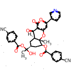 CC(O)(OC(=O)c1ccc(C#N)cc1)[C@@H]1C[C@H](OC(=O)c2ccc(C#N)cc2)[C@@]2(C)Oc3cc(-c4cccnc4)oc(=O)c3C(=O)[C@@H]2C1